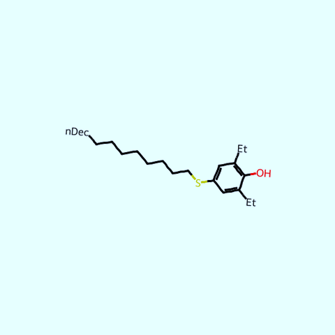 CCCCCCCCCCCCCCCCCCSc1cc(CC)c(O)c(CC)c1